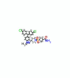 Cn1nc(C2CCN(S(=O)(=O)c3ccc(C(N)=O)cc3)CC2)c2cc(C(c3ccc(Cl)cc3)c3ccc(Cl)cc3)ccc21